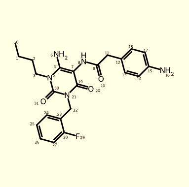 CCCCn1c(N)c(NC(=O)Cc2ccc(N)cc2)c(=O)n(Cc2ccccc2F)c1=O